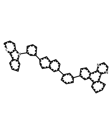 c1cc(-c2ccc3cc(-c4cccc(-n5c6ccccc6c6ccccc65)c4)ccc3c2)cc(-c2ccc3c(c2)c2ccccc2c2nccnc32)c1